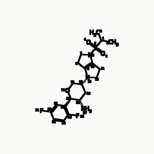 CC(C)S(=O)(=O)N1CCC2=C1CCN2[C@H]1CO[C@H](c2cc(F)ccc2F)[C@@H](N)C1